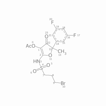 CC(=O)OC1=C(NS(=O)(=O)CCCBr)OC(C)(c2cc(F)cc(F)c2)C1=O